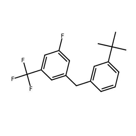 CC(C)(C)c1cccc(Cc2cc(F)cc(C(F)(F)F)c2)c1